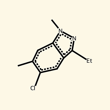 CCc1nn(C)c2cc(C)c(Cl)cc12